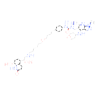 CCc1nc2c(cnn2CC)c(NC2CCOCC2)c1CNC(=O)Nc1ccc(CCCCOCCCCCCNC[C@H](O)c2ccc(O)c3[nH]c(=O)ccc23)cc1